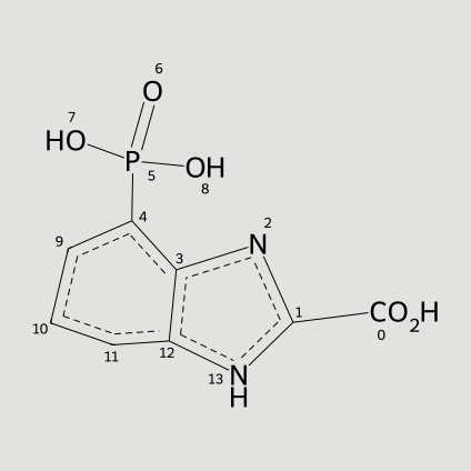 O=C(O)c1nc2c(P(=O)(O)O)cccc2[nH]1